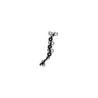 C=CC(=O)OCCCCOc1ccc(C(=O)Oc2ccc(C(=O)Oc3ccc(SCC(CC)CC)cc3)cc2)cc1